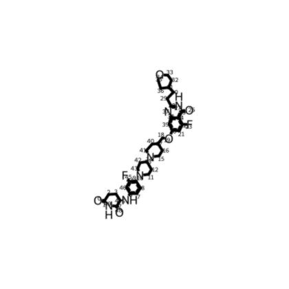 O=C1CC[C@@H](Nc2ccc(N3CCC(N4CCC(COc5cc(F)c6c(=O)[nH]c(CCC7CCOCC7)nc6c5)CC4)CC3)c(F)c2)C(=O)N1